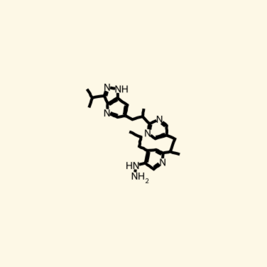 CCCc1cc(C(C)Cc2cnc(C(C)Cc3cnc4c(C(C)C)n[nH]c4c3)nc2)ncc1NN